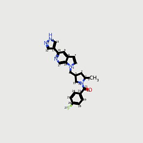 CC1CC(Cn2ccc3cc(-c4cn[nH]c4)ncc32)CN1C(=O)c1ccc(F)cc1